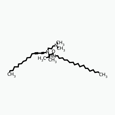 CCCCCCCCCCCCC#CC#CN(CCCN(C)C)C(C(=O)NCCCCCCCCCCCCCCCCCC)C(C)C